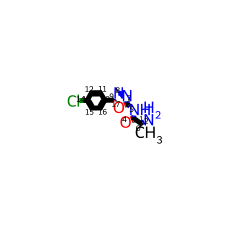 C[C@@H](N)C(=O)Nc1nnc(-c2ccc(Cl)cc2)o1